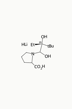 CC[C@](O)(C(O)N1CCCC1C(=O)O)C(C)(C)C.[LiH]